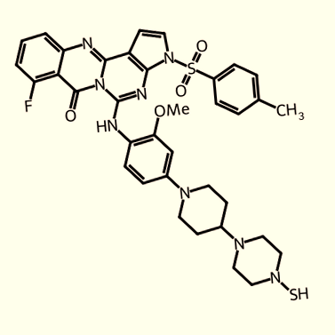 COc1cc(N2CCC(N3CCN(S)CC3)CC2)ccc1Nc1nc2c(ccn2S(=O)(=O)c2ccc(C)cc2)c2nc3cccc(F)c3c(=O)n12